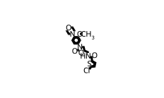 COc1cc(N2CC(CNC(=O)c3ccc(Cl)s3)OC2=O)ccc1N1CCOCC1